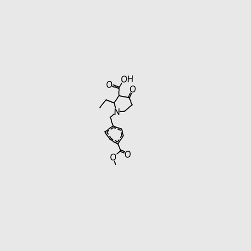 CCC1C(C(=O)O)C(=O)CCN1Cc1ccc(C(=O)OC)cc1